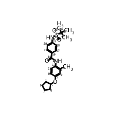 Cc1cc(OC2CCCC2)ccc1NC(=O)c1ccc(NS(=O)(=O)C(C)(C)C)cc1